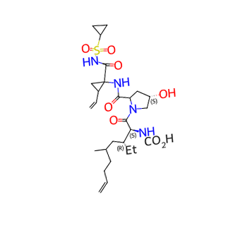 C=CCCC(C)C[C@@H](CC)[C@H](NC(=O)O)C(=O)N1C[C@@H](O)CC1C(=O)NC1(C(=O)NS(=O)(=O)C2CC2)CC1C=C